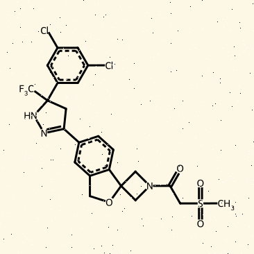 CS(=O)(=O)CC(=O)N1CC2(C1)OCc1cc(C3=NNC(c4cc(Cl)cc(Cl)c4)(C(F)(F)F)C3)ccc12